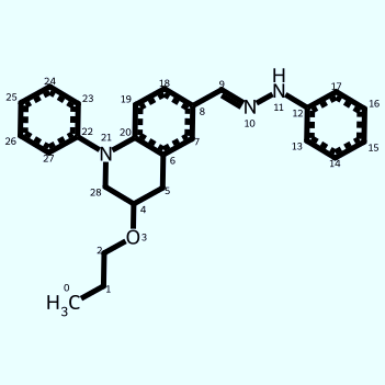 CCCOC1Cc2cc(C=NNc3ccccc3)ccc2N(c2ccccc2)C1